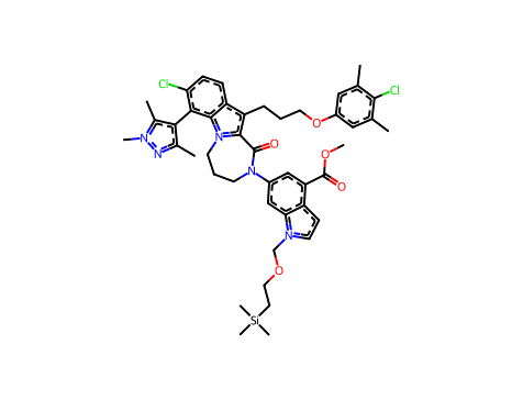 COC(=O)c1cc(N2CCCn3c(c(CCCOc4cc(C)c(Cl)c(C)c4)c4ccc(Cl)c(-c5c(C)nn(C)c5C)c43)C2=O)cc2c1ccn2COCC[Si](C)(C)C